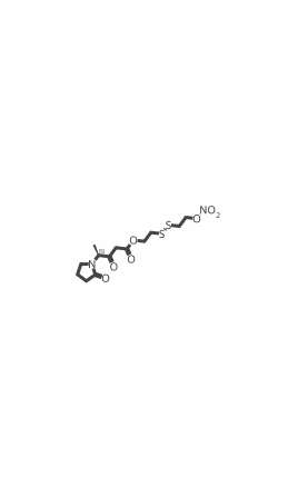 C[C@@H](C(=O)CC(=O)OCCSSCCO[N+](=O)[O-])N1CCCC1=O